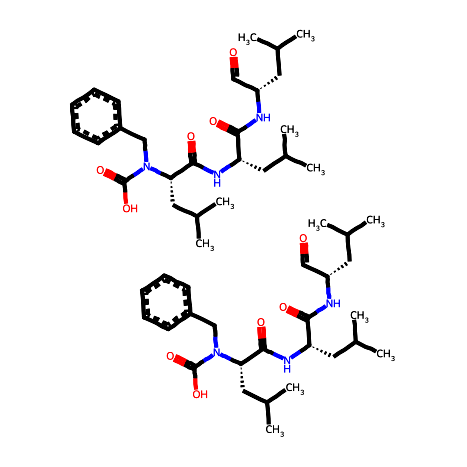 CC(C)C[C@@H](C=O)NC(=O)[C@H](CC(C)C)NC(=O)[C@H](CC(C)C)N(Cc1ccccc1)C(=O)O.CC(C)C[C@@H](C=O)NC(=O)[C@H](CC(C)C)NC(=O)[C@H](CC(C)C)N(Cc1ccccc1)C(=O)O